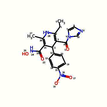 CCC1=C(C(=O)n2ccnc2)C(c2ccc([N+](=O)[O-])cc2)C(C(=O)NO)=C(C)N1